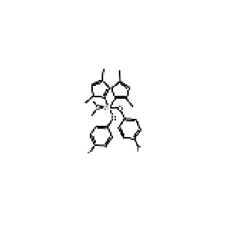 CC1=CC(C)[C]([Zr]([O]c2ccc(F)cc2)([O]c2ccc(F)cc2)([C]2=C(C)C=C(C)C2)=[Si](C)C)=C1